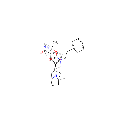 CC(C)(C)OC(=O)N(CCc1ccccc1)CCN1[C@@H]2CC[C@H]1C[C@@H](c1cccc(C(N)=O)c1)C2